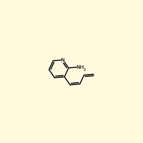 C=C/C=C\c1cccnc1N